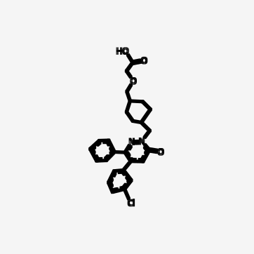 O=C(O)COCC1CCC(Cn2nc(-c3ccccc3)c(-c3cccc(Cl)c3)cc2=O)CC1